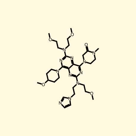 COCCN(CCn1ccnc1)c1nc(N2CCN(C)C(=O)C2)c2nc(N(CCOC)CCOC)nc(N3CCC(OC)CC3)c2n1